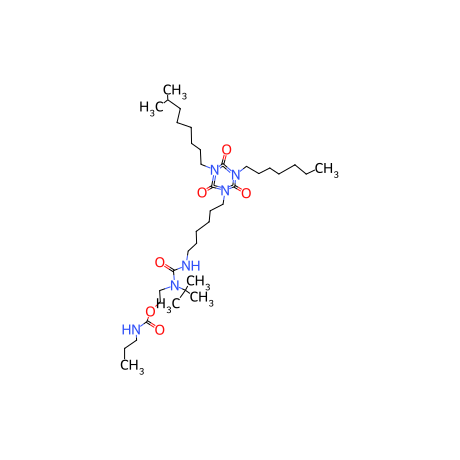 CCCCCCCn1c(=O)n(CCCCCCNC(=O)N(CCOC(=O)NCCC)C(C)(C)C)c(=O)n(CCCCCCC(C)C)c1=O